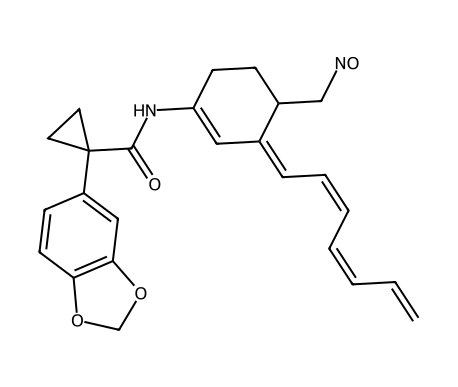 C=C\C=C/C=C\C=C1\C=C(NC(=O)C2(c3ccc4c(c3)OCO4)CC2)CCC1CN=O